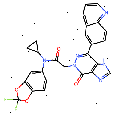 O=C(Cn1nc(-c2ccc3ncccc3c2)c2[nH]cnc2c1=O)N(c1ccc2c(c1)OC(F)(F)O2)C1CC1